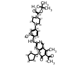 CC(=O)c1c(C)c2cnc(Nc3ccc(N4CCN(C(=O)OC(C)(C)C)CC4)c[n+]3[O-])nc2n(C2CCCC2)c1=O